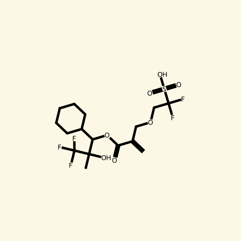 C=C(COCC(F)(F)S(=O)(=O)O)C(=O)OC(C1CCCCC1)C(C)(O)C(F)(F)F